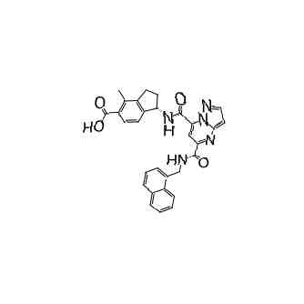 Cc1c(C(=O)O)ccc2c1CC[C@@H]2NC(=O)c1cc(C(=O)NCc2cccc3ccccc23)nc2ccnn12